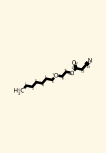 CCCCCCCOCCOC(=O)CC#N